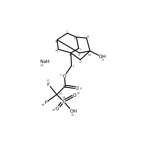 O=C(OCC12CC3CC(CC(O)(C3)C1)C2)C(F)(F)S(=O)(=O)O.[NaH]